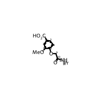 COc1cc(C(=O)O)ccc1OCC(=O)NC(C)C